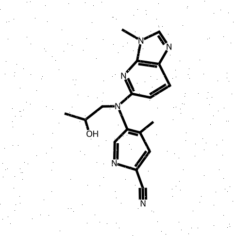 Cc1cc(C#N)ncc1N(CC(C)O)c1ccc2ncn(C)c2n1